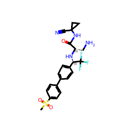 CS(=O)(=O)c1ccc(-c2ccc([C@H](N[C@@H](CN)C(=O)NC3(C#N)CC3)C(F)(F)F)cc2)cc1